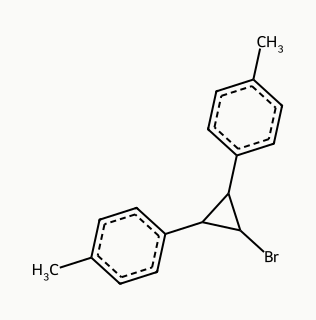 Cc1ccc(C2C(Br)C2c2ccc(C)cc2)cc1